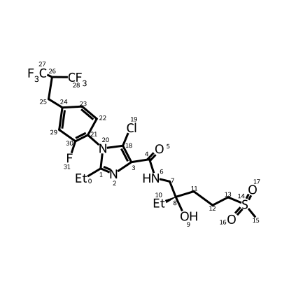 CCc1nc(C(=O)NC[C@](O)(CC)CCCS(C)(=O)=O)c(Cl)n1-c1ccc(CC(C(F)(F)F)C(F)(F)F)cc1F